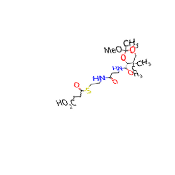 COC1(C)OCC(C)(C)[C@H](C(=O)NCCC(=O)NCCSC(=O)CCC(=O)O)O1